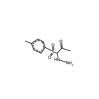 CC(=O)C(NN)S(=O)(=O)c1ccc(C)cc1